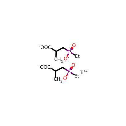 CCP(=O)([O-])CC(C)C(=O)[O-].CCP(=O)([O-])CC(C)C(=O)[O-].[Ti+4]